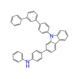 c1ccc(Nc2ccc(-c3ccc4c5ccccc5n(-c5ccc(-c6cccc(-c7ccccc7)c6)cc5)c4c3)cc2)cc1